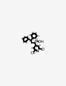 O/N=C(/CC(c1ccccc1)c1ccccc1)c1cc(Cl)nc(Cl)c1